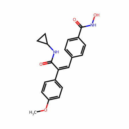 COc1ccc(C(=Cc2ccc(C(=O)NO)cc2)C(=O)NC2CC2)cc1